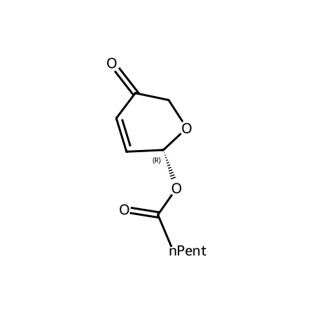 CCCCCC(=O)O[C@@H]1C=CC(=O)CO1